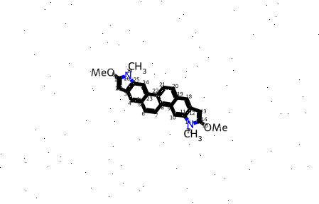 COc1cc2cc3ccc4c5cc6c(cc(OC)n6C)cc5ccc4c3cc2n1C